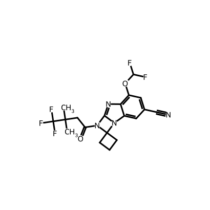 CC(C)(CC(=O)N1c2nc3c(OC(F)F)cc(C#N)cc3n2C12CCC2)C(F)(F)F